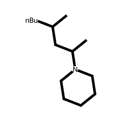 CCCCC(C)CC(C)N1CCCCC1